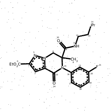 CCOC(=O)c1cc2n(n1)CC(C)(C(=O)NCCC(C)C)N(c1cccc(F)c1)C2=O